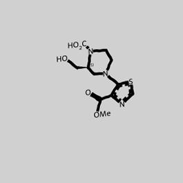 COC(=O)c1ncsc1N1CCN(C(=O)O)[C@H](CO)C1